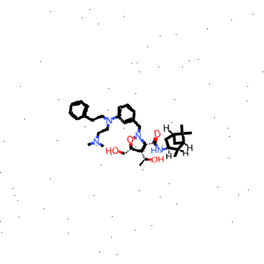 C[C@@H]1[C@@H](NC(=O)[C@@H]2[C@H]([C@H](C)O)[C@H](CO)ON2Cc2cccc(N(CCc3ccccc3)CCN(C)C)c2)C[C@H]2C[C@@H]1C2(C)C